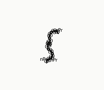 C=CC(=O)OC(CCC)OC(=O)Oc1ccc(OC(=O)Oc2ccc(C(=O)O[C@@H]3CO[C@H]4[C@@H]3OC[C@@H]4OC(=O)c3cccc(OC(=O)Oc4ccc(OC(=O)OC(CCC)OC(=O)OC(CCC)OC(=O)C=C)cc4)c3)cc2)cc1